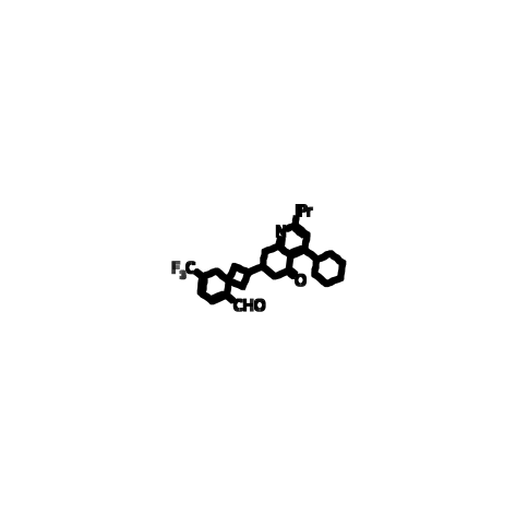 CC(C)c1cc(C2CCCCC2)c2c(n1)CC(C1CC3(CC(C(F)(F)F)=CC=C3C=O)C1)CC2=O